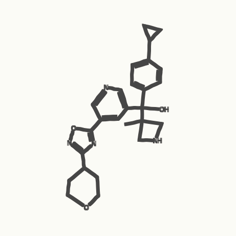 CC1(C(O)(c2ccc(C3CC3)cc2)c2cncc(-c3nc(C4CCOCC4)no3)c2)CNC1